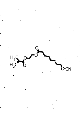 C=C(C)C(=O)OCCOC(=O)CCCCCCCOC#N